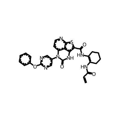 C=CC(=O)NC1=C(NC(=O)c2sc3nccc4c3c2NC(=O)N4c2cnc(Oc3ccccc3)nc2)CCCC1